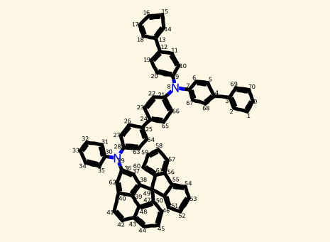 c1ccc(-c2ccc(N(c3ccc(-c4ccccc4)cc3)c3ccc(-c4ccc(N(c5ccccc5)c5cc6c7c(ccc8cccc(c87)C67c6ccccc6-c6ccccc67)c5)cc4)cc3)cc2)cc1